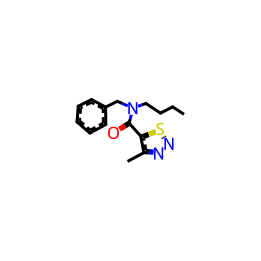 CCCCN(Cc1ccccc1)C(=O)c1snnc1C